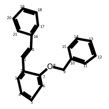 C(=Cc1ccccc1OCc1ccccc1)c1ccccc1